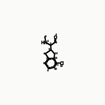 CNC(C=O)C1Cc2cccc(Cl)c2C1